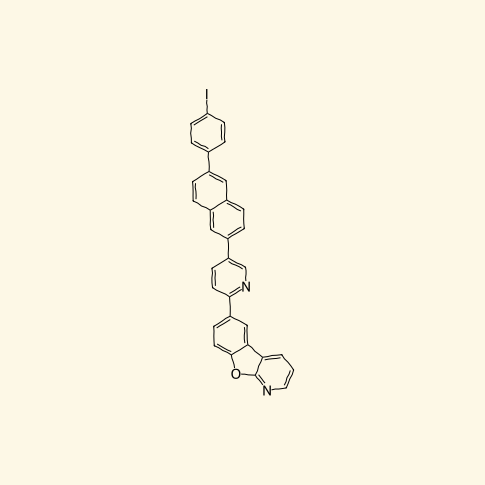 Ic1ccc(-c2ccc3cc(-c4ccc(-c5ccc6oc7ncccc7c6c5)nc4)ccc3c2)cc1